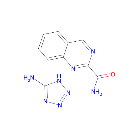 NC(=O)c1ncc2ccccc2n1.Nc1nnn[nH]1